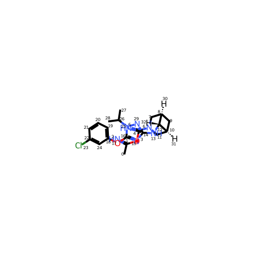 CC(=N)OC(=N)N1C[C@H]2C[C@@H](C1)[C@@H]2Nc1nc(Oc2cccc(Cl)c2)n(C(C)C)n1